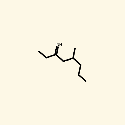 CCCC(C)CC(=N)CC